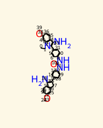 CCn1c(-c2ccc(NC(=O)Nc3ccc(C4=C(N)c5ccc(OC)cc5C4)cc3)cc2)c(N)c2ccc(OC)cc21